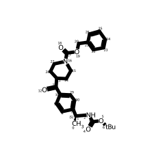 C[C@H](NC(=O)OC(C)(C)C)c1ccc(C(=O)C2CCN(C(=O)OCc3ccccc3)CC2)cc1